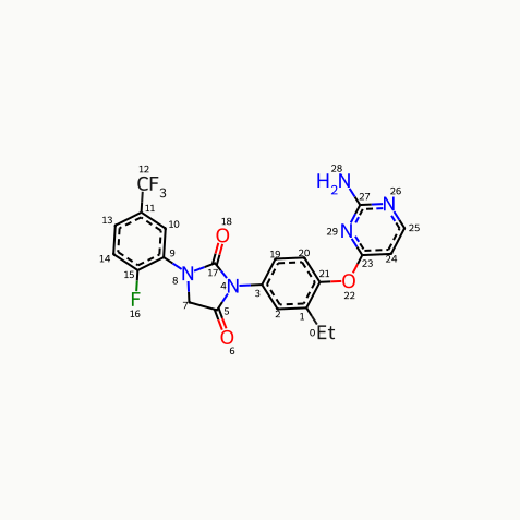 CCc1cc(N2C(=O)CN(c3cc(C(F)(F)F)ccc3F)C2=O)ccc1Oc1ccnc(N)n1